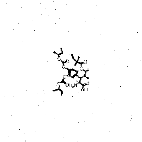 CCC(C)OC(=O)Oc1ccc(C(C(C)C(C)OC(=O)C(C)(C)CC)[C@H](N)C(=O)O)cc1OC(=O)OC(C)CC